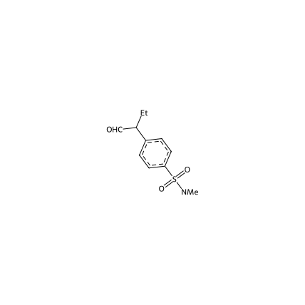 CCC(C=O)c1ccc(S(=O)(=O)NC)cc1